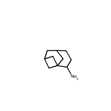 NC1CCC2CC3CC1(C2)C3